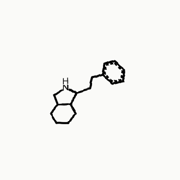 c1ccc(CCC2NCC3CCCCC32)cc1